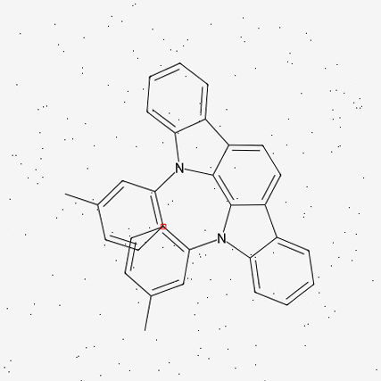 Cc1cccc(-n2c3ccccc3c3ccc4c5ccccc5n(-c5cccc(C)c5)c4c32)c1